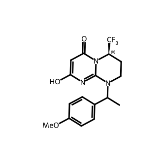 COc1ccc(C(C)N2CC[C@H](C(F)(F)F)n3c2nc(O)cc3=O)cc1